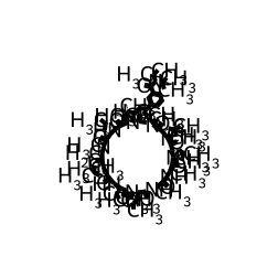 C=C1C(=O)N(C)[C@@H](CC(C)C)C(=O)N[C@H](C(C)C)C(=O)N(C)[C@H](CC(C)C)C(=O)N[C@H](C)C(=O)N[C@@H](C)C(=O)N(C)[C@@H](CC(C)C)C(=O)N(C)[C@@H](CC(C)C)C(=O)N(C)[C@@H](C(C)C)C(=O)N(C)[C@@H]([C@H](O)[C@H](C)CCCc2cccc(C(=O)N(C(C)C)C(C)C)c2)C(=O)N[C@@H](CCC)C(=O)N1C